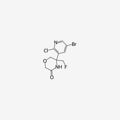 O=C1COCC(CF)(c2cc(Br)cnc2Cl)N1